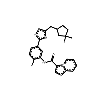 O=C(Nc1cc(-c2noc(CN3CCC(F)(F)C3)n2)ccc1F)c1cnc2ccccn12